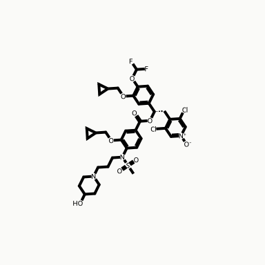 CS(=O)(=O)N(CCCN1CCC(O)CC1)c1ccc(C(=O)O[C@@H](Cc2c(Cl)c[n+]([O-])cc2Cl)c2ccc(OC(F)F)c(OCC3CC3)c2)cc1OCC1CC1